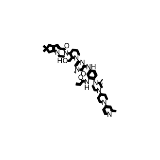 C=CC(=O)Nc1cc(Nc2nc(N3CCCC(N4CCn5c(cc6c5CC(C)(C)C6)C4=O)C3CO)cn(C)c2=O)ccc1N1CCN(C2CCN(c3ccnc(C)c3)CC2)C[C@@H]1C